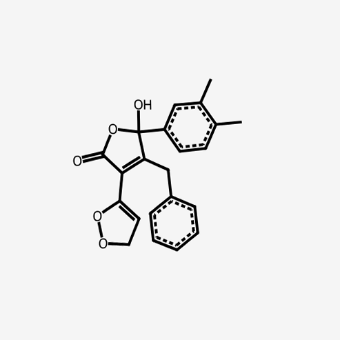 Cc1ccc(C2(O)OC(=O)C(C3=CCOO3)=C2Cc2ccccc2)cc1C